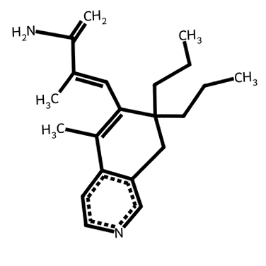 C=C(N)/C(C)=C/C1=C(C)c2ccncc2CC1(CCC)CCC